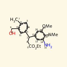 CCOC(=O)CC(c1ccc(C)c(CO)c1)c1cc(N)c(NC)c(OC)c1